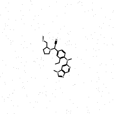 CCc1cc(C(C#N)N2CCCC2COC)ccc1N(C)c1cc2c(cn1)ncn2C